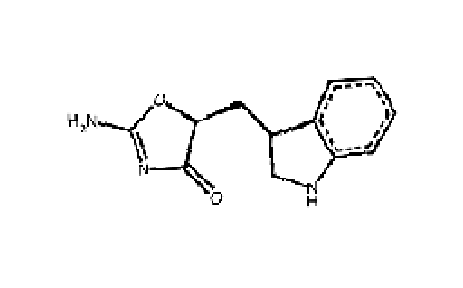 NC1=NC(=O)[C@H](CC2CNc3ccccc32)O1